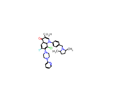 CC1CCC(C)N1Cc1ccc(-n2cc(C(=O)O)c(=O)c3cc(F)c(N4CCN(c5ccccn5)CC4)c(Cl)c32)cc1